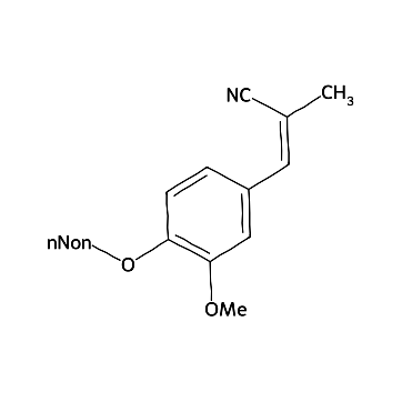 CCCCCCCCCOc1ccc(/C=C(/C)C#N)cc1OC